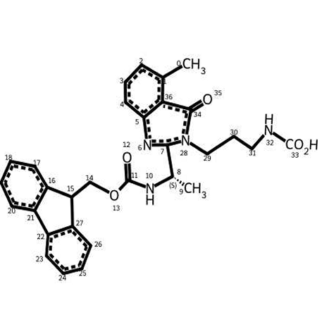 Cc1cccc2nc([C@H](C)NC(=O)OCC3c4ccccc4-c4ccccc43)n(CCCNC(=O)O)c(=O)c12